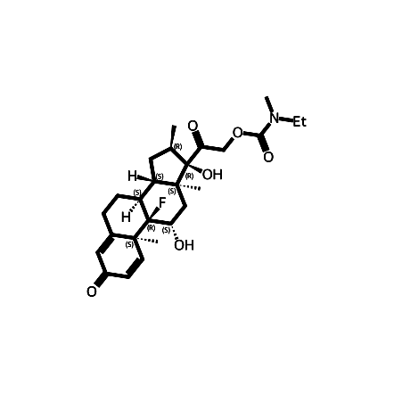 CCN(C)C(=O)OCC(=O)[C@@]1(O)[C@H](C)C[C@H]2[C@@H]3CCC4=CC(=O)C=C[C@]4(C)[C@@]3(F)[C@@H](O)C[C@@]21C